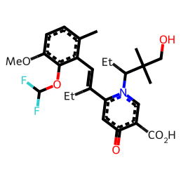 CC/C(=C\c1c(C)ccc(OC)c1OC(F)F)c1cc(=O)c(C(=O)O)cn1C(CC)C(C)(C)CO